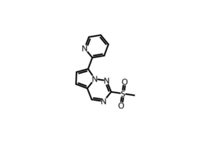 CS(=O)(=O)c1ncc2ccc(-c3ccccn3)n2n1